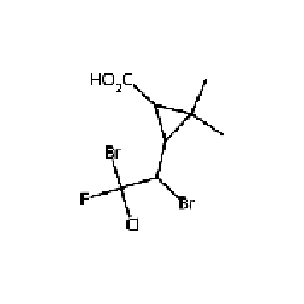 CC1(C)C(C(=O)O)C1C(Br)C(F)(Cl)Br